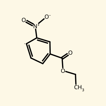 CCOC(=O)c1cc[c]c([N+](=O)[O-])c1